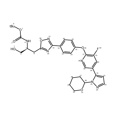 CC(C)(C)OC(=O)N[C@H](CO)Cc1nc(-c2ccc(Oc3ncc(-c4ccnn4C4CCCCO4)cc3F)cc2)no1